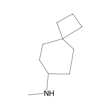 CNC1CCC2(CCC2)CC1